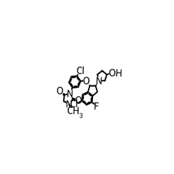 CN1CC(=O)N(c2ccc(Cl)c(O[C@H]3c4cc(Cl)cc(F)c4C[C@@H]3N3CCC(O)C3)c2)C1=O